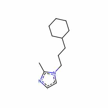 Cc1n[c]cn1CCCC1CCCCC1